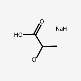 CC(Cl)C(=O)O.[NaH]